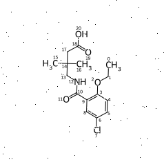 CCOc1ccc(Cl)cc1C(=O)NCC(C)(C)CC(=O)O